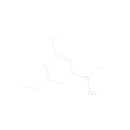 COc1cc(OC)cc(N(N)Cl)c1